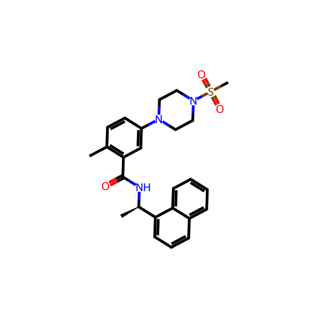 Cc1ccc(N2CCN(S(C)(=O)=O)CC2)cc1C(=O)N[C@H](C)c1cccc2ccccc12